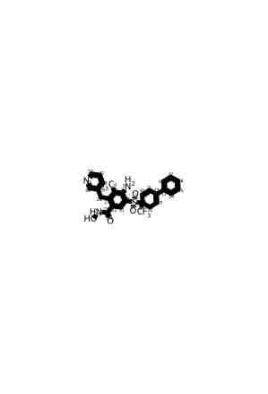 Cc1c(N)c(S(=O)(=O)C2(C(F)(F)F)C=CC(c3ccccc3)=CC2)cc(C(=O)NO)c1Cc1cccnc1